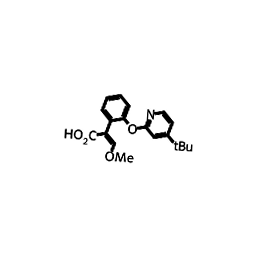 COC=C(C(=O)O)c1ccccc1Oc1cc(C(C)(C)C)ccn1